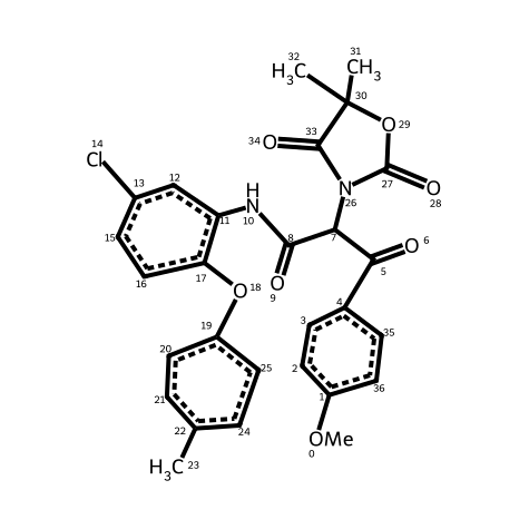 COc1ccc(C(=O)C(C(=O)Nc2cc(Cl)ccc2Oc2ccc(C)cc2)N2C(=O)OC(C)(C)C2=O)cc1